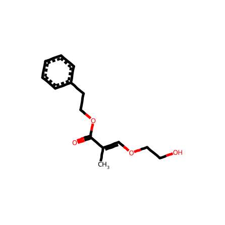 CC(=COCCO)C(=O)OCCc1ccccc1